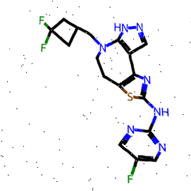 Fc1cnc(Nc2nc3c(s2)CCN(CC2CC(F)(F)C2)c2[nH]ncc2-3)nc1